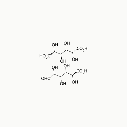 O=C(O)[C@@H](O)[C@H](O)[C@H](O)[C@@H](O)C(=O)O.O=C[C@H](O)[C@@H](O)[C@H](O)[C@H](O)C(=O)O